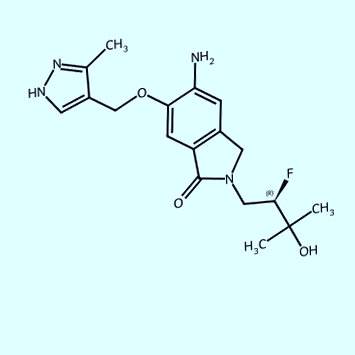 Cc1n[nH]cc1COc1cc2c(cc1N)CN(C[C@@H](F)C(C)(C)O)C2=O